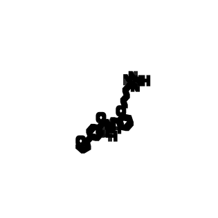 [2H]C([2H])([2H])N(Cc1ccccc1OCCCCc1nn[nH]n1)C(=O)c1ccc(-c2ccco2)cc1